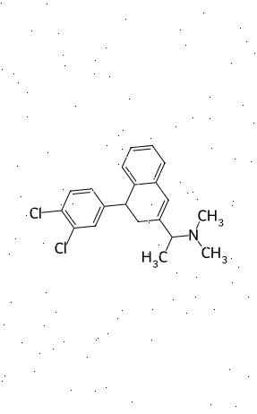 CC(C1=Cc2ccccc2C(c2ccc(Cl)c(Cl)c2)C1)N(C)C